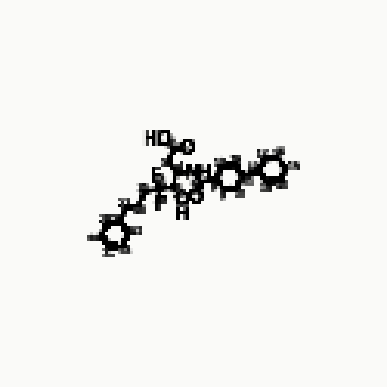 O=C(O)CC(NC(=O)c1ccc(-c2ccccc2)cc1)C(O)C(F)(F)CCCc1ccccc1